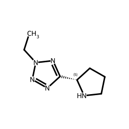 CCn1nnc([C@@H]2CCCN2)n1